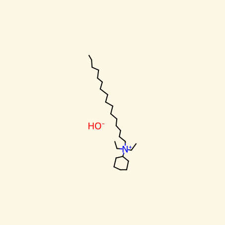 CCCCCCCCCCCCCCCC[N+](CC)(CC)C1CCCCC1.[OH-]